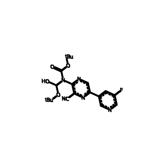 CC(C)(C)OC(=O)N(c1ncc(-c2cncc(F)c2)nc1C#N)C(O)OC(C)(C)C